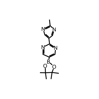 Cc1ncc(-c2ncc(B3OC(C)(C)C(C)(C)O3)cn2)cn1